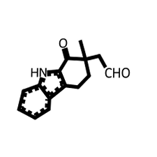 CC1(CC=O)CCc2c([nH]c3ccccc23)C1=O